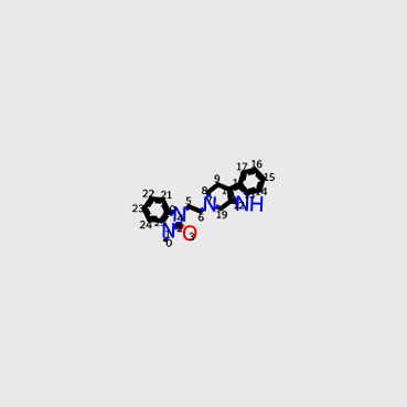 Cn1c(=O)n(CCN2CCc3c([nH]c4ccccc34)C2)c2ccccc21